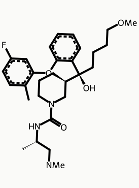 CNC[C@H](C)NC(=O)N1CCC[C@@H]([C@@](O)(CCCCOC)c2ccccc2Oc2cc(F)ccc2C)C1